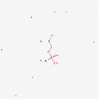 CP(=O)(O)OCC(Cl)Cl